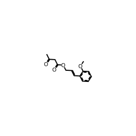 COc1ccccc1C=CCOC(=O)CC(C)=O